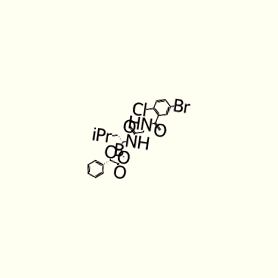 CC(C)C[C@H](NC(=O)CNC(=O)c1cc(Br)ccc1Cl)B1OC(=O)[C@H](c2ccccc2)O1